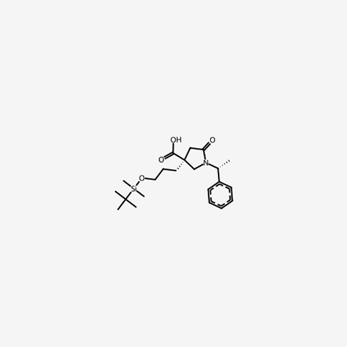 C[C@H](c1ccccc1)N1C[C@@](CCCO[Si](C)(C)C(C)(C)C)(C(=O)O)CC1=O